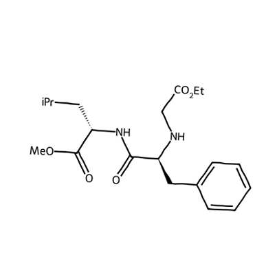 CCOC(=O)CN[C@@H](Cc1ccccc1)C(=O)N[C@@H](CC(C)C)C(=O)OC